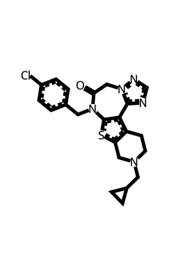 O=C1Cn2ncnc2-c2c(sc3c2CCN(CC2CC2)C3)N1Cc1ccc(Cl)cc1